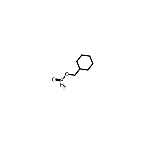 O=[PH](F)OCC1CCCCC1